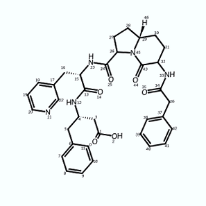 O=C(O)C[C@H](Cc1ccccc1)NC(=O)[C@H](Cc1cccnc1)NC(=O)C1CC[C@@H]2CCC(NC(=O)Cc3ccccc3)C(=O)N12